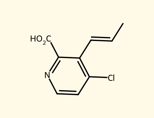 CC=Cc1c(Cl)ccnc1C(=O)O